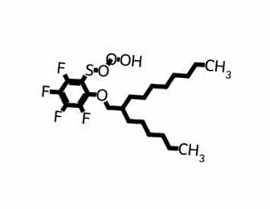 CCCCCCCCC(CCCCCC)COc1c(F)c(F)c(F)c(F)c1SOOO